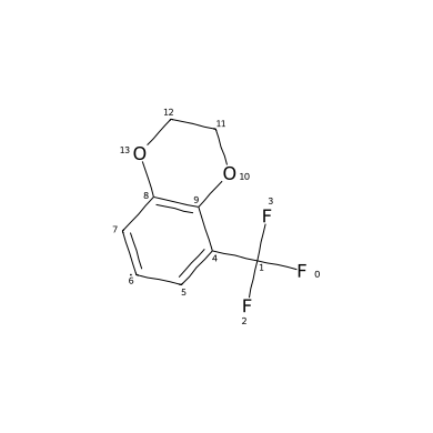 FC(F)(F)c1c[c]cc2c1OCCO2